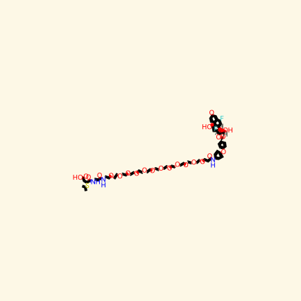 CC(C)SC(CC(=O)O)C(=O)NCCC(=O)NCCOCCOCCOCCOCCOCCOCCOCCOCCOCCOCCOCCOCCC(=O)Nc1ccc(Oc2ccc([C@@H]3O[C@@H]4CC5[C@@H]6C[C@H](F)C7=CC(=O)C=C[C@]7(C)[C@@]6(F)[C@@H](O)C[C@]5(C)[C@]4(C(=O)CO)O3)cc2)cc1